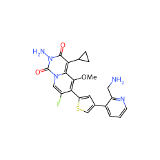 COc1c(-c2cc(-c3cccnc3CN)cs2)c(F)cn2c(=O)n(N)c(=O)c(C3CC3)c12